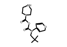 CC(C)(C)CN(C(=O)OC(=O)N1CCNCC1)C1=CCOC=C1